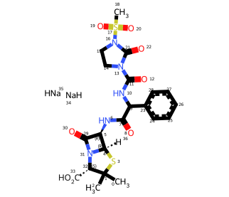 CC1(C)S[C@@H]2[C@H](NC(=O)C(NC(=O)N3CCN(S(C)(=O)=O)C3=O)c3ccccc3)C(=O)N2[C@H]1C(=O)O.[NaH].[NaH]